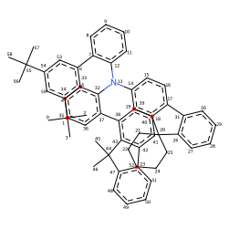 CC(C)(C)c1cc(-c2ccccc2N(c2ccc3c(c2)C2(CCCCC2)c2ccccc2-3)c2ccccc2-c2cccc3c2C(C)(C)c2ccccc2-3)cc(C(C)(C)C)c1